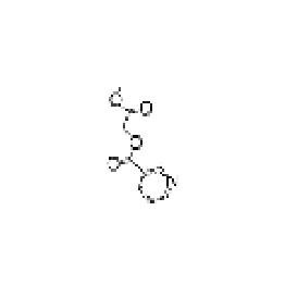 COC(=O)COC(=O)c1[c]nccc1